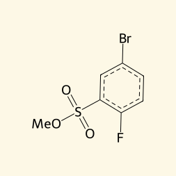 COS(=O)(=O)c1cc(Br)ccc1F